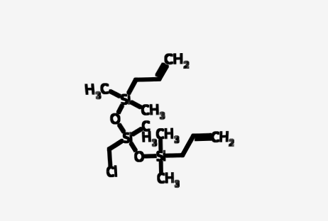 C=CC[Si](C)(C)O[Si](C)(CCl)O[Si](C)(C)CC=C